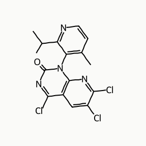 Cc1ccnc(C(C)C)c1-n1c(=O)nc(Cl)c2cc(Cl)c(Cl)nc21